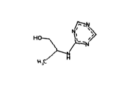 CC(CO)Nc1ncncn1